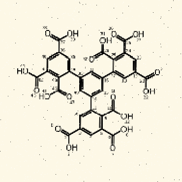 O=C(O)c1cc(C(=O)O)c(C(=O)O)c(-c2cc(-c3cc(C(=O)O)cc(C(=O)O)c3C(=O)O)cc(-c3cc(C(=O)O)cc(C(=O)O)c3C(=O)O)c2)c1